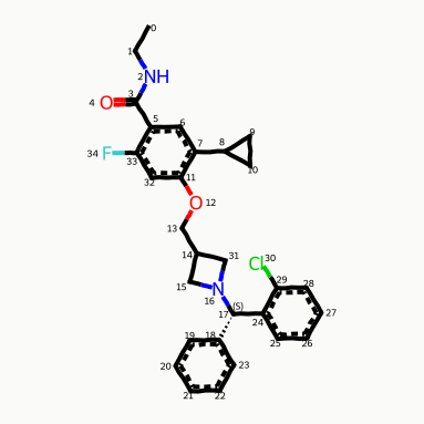 CCNC(=O)c1cc(C2CC2)c(OCC2CN([C@@H](c3ccccc3)c3ccccc3Cl)C2)cc1F